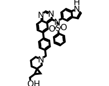 O=S(=O)(c1ccccc1)N(c1ccc2[nH]ccc2c1)c1ncnc2ccc(-c3ccc(CN4CCCC5(CC5CO)C4)cc3)cc12